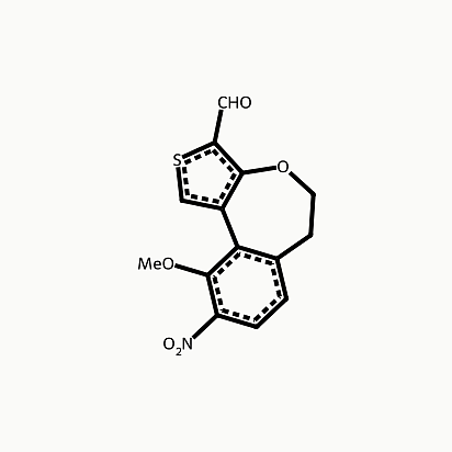 COc1c([N+](=O)[O-])ccc2c1-c1csc(C=O)c1OCC2